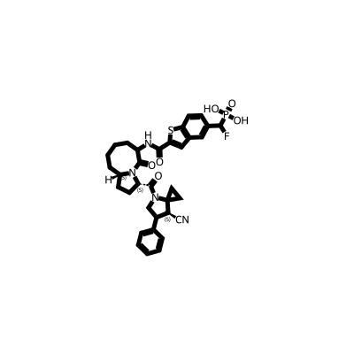 N#C[C@H]1C(c2ccccc2)CN(C(=O)[C@@H]2CC[C@@H]3CCCCC(NC(=O)c4cc5cc(C(F)P(=O)(O)O)ccc5s4)C(=O)N32)C12CC2